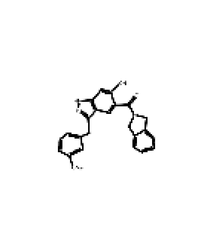 COc1cccc(Cc2n[nH]c3cc(O)c(C(=O)N4Cc5ccccc5C4)cc23)c1